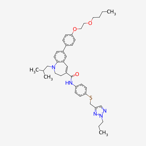 CCCCOCCOc1ccc(-c2ccc3c(c2)C=C(C(=O)Nc2ccc(SCc4cnn(CCC)n4)cc2)CCN3CC(C)C)cc1